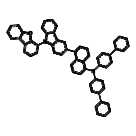 c1ccc(-c2ccc(N(c3ccc(-c4ccccc4)cc3)c3cccc4c(-c5ccc6c(c5)c5ccccc5n6-c5cccc6c5oc5ccccc56)cccc34)cc2)cc1